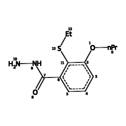 CCCOc1cccc(C(=O)NN)c1SCC